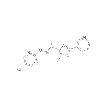 C/C(=N\Oc1ncc(Cl)cn1)c1sc(-c2cccnc2)nc1C